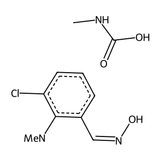 CNC(=O)O.CNc1c(Cl)cccc1/C=N\O